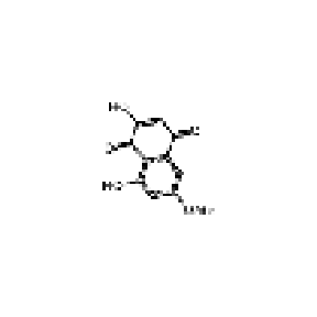 COc1cc(O)c2c(c1)C(=O)C=C(O)C2=O